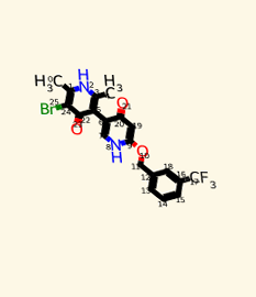 Cc1[nH]c(C)c(-c2c[nH]c(OCc3cccc(C(F)(F)F)c3)cc2=O)c(=O)c1Br